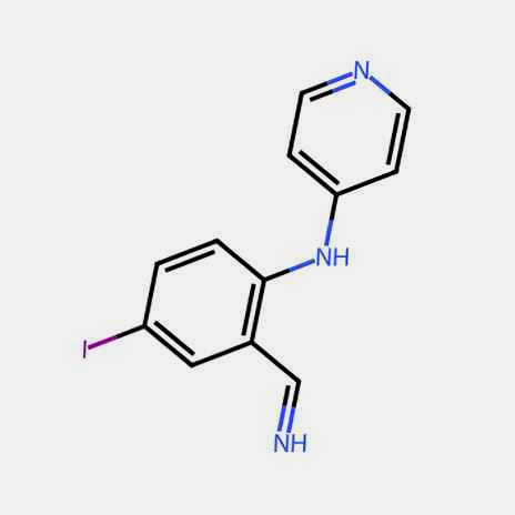 N=Cc1cc(I)ccc1Nc1ccncc1